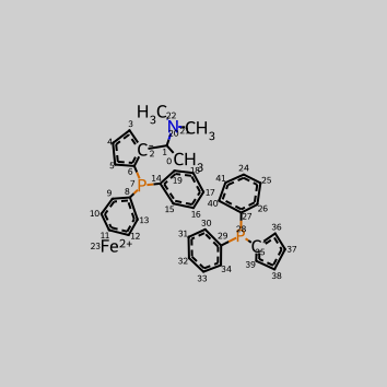 CC([c-]1cccc1P(c1ccccc1)c1ccccc1)N(C)C.[Fe+2].c1ccc(P(c2ccccc2)[c-]2cccc2)cc1